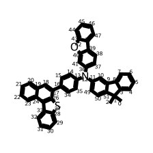 CC1(C)c2ccccc2-c2cc(N(c3ccc(-c4cc5ccccc5c5c4sc4ccccc45)cc3)c3ccc4c(c3)oc3ccccc34)ccc21